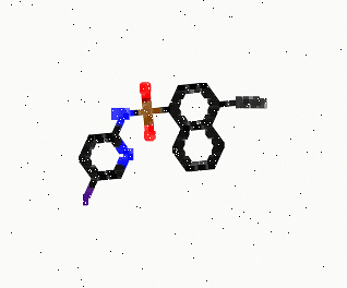 CC(=O)Nc1ccc(S(=O)(=O)Nc2ccc(I)cn2)c2ccccc12